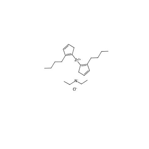 CCCCC1=[C]([Zr+2][C]2=C(CCCC)C=CC2)CC=C1.CC[N-]CC.[Cl-]